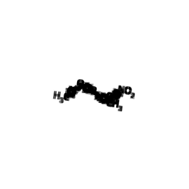 Cc1ccc(C=CC(=O)c2ccc(OCCCN3CCC(N(C)S(=O)(=O)c4ccc([N+](=O)[O-])cc4)CC3)cc2)cc1